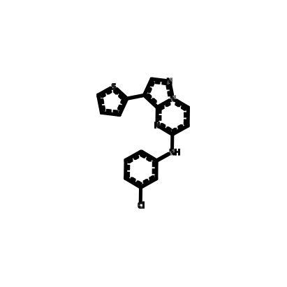 Clc1cccc(Nc2ccn3ncc(-c4cccs4)c3n2)c1